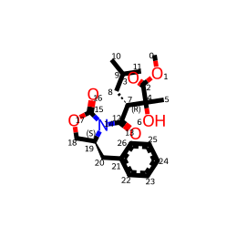 COC(=O)C(C)(O)[C@@H](CC(C)C)C(=O)N1C(=O)OC[C@@H]1Cc1ccccc1